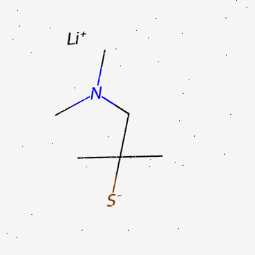 CN(C)CC(C)(C)[S-].[Li+]